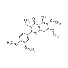 COc1ccc(-c2oc3cc(OC)c(OC)c(O)c3c(=O)c2OC)cc1OC